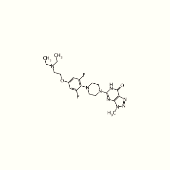 CCN(CC)CCOc1cc(F)c(N2CCN(c3nc4c(nnn4C)c(=O)[nH]3)CC2)c(F)c1